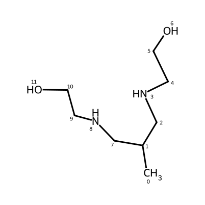 CC(CNCCO)CNCCO